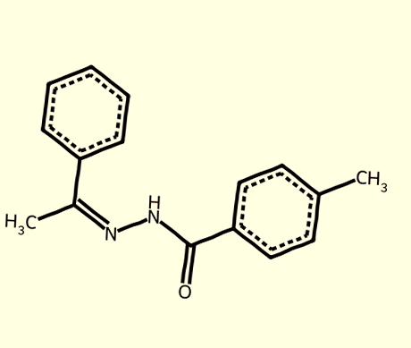 CC(=NNC(=O)c1ccc(C)cc1)c1ccccc1